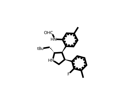 Cc1ccc([C@H]2[C@@H](c3cccc(C)c3F)CN[C@@H]2CC(C)(C)C)c(NC=O)c1